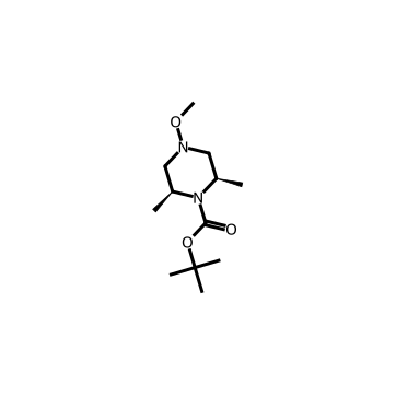 CON1C[C@@H](C)N(C(=O)OC(C)(C)C)[C@@H](C)C1